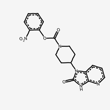 O=C(Oc1ccccc1[N+](=O)[O-])N1CCC(n2c(=O)[nH]c3ncccc32)CC1